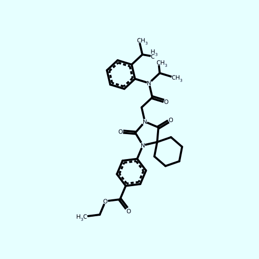 CCOC(=O)c1ccc(N2C(=O)N(CC(=O)N(c3ccccc3C(C)C)C(C)C)C(=O)C23CCCCC3)cc1